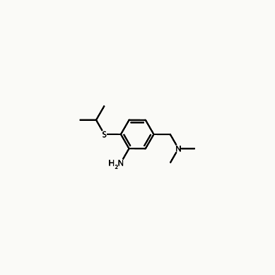 CC(C)Sc1ccc(CN(C)C)cc1N